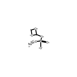 O=P([O-])([O-])OC1OCO1.[Na+].[Na+]